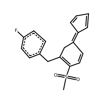 CS(=O)(=O)C1=C(Cc2ccc(F)cc2)CC(=C2C=CC=C2)C=C1